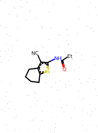 CCC(=O)Nc1sc2c(c1C#N)CCCC2